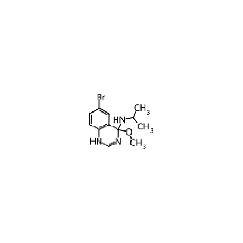 COC1(NC(C)C)N=CNc2ccc(Br)cc21